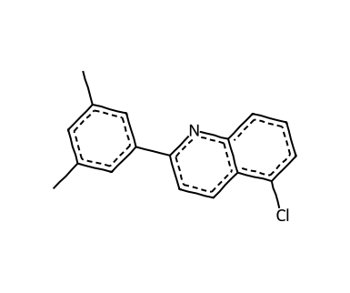 Cc1cc(C)cc(-c2ccc3c(Cl)cccc3n2)c1